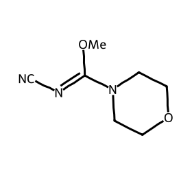 COC(=NC#N)N1CCOCC1